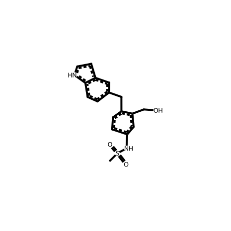 CS(=O)(=O)Nc1ccc(Cc2ccc3[nH]ccc3c2)c(CO)c1